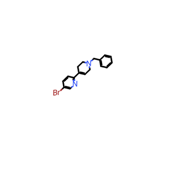 Brc1ccc(C2=CCN(Cc3ccccc3)CC2)nc1